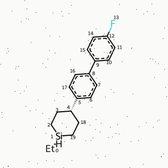 CC[Si@H]1CC[C@H](c2ccc(-c3ccc(F)cc3)cc2)CC1